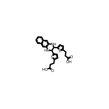 O=C(O)CCc1ccc(C2Nc3cc4ccccc4cc3NC2c2ccc(CCC(=O)O)s2)s1